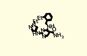 CCc1ccccc1CNc1nc(Nc2cnn(CC)c2)ncc1C(N)=O